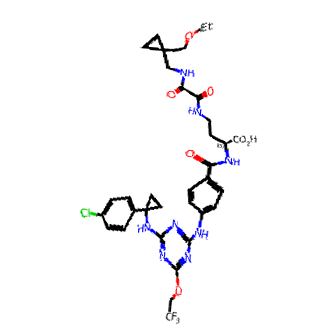 CCOCC1(CNC(=O)C(=O)NCC[C@H](NC(=O)c2ccc(Nc3nc(NC4(c5ccc(Cl)cc5)CC4)nc(OCC(F)(F)F)n3)cc2)C(=O)O)CC1